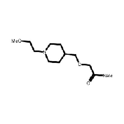 CNC(=O)COCC1CCN(CCOC)CC1